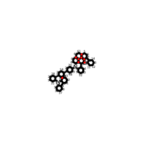 c1cc(-c2cccc3c2oc2ccccc23)cc(N(c2ccc(-c3ccc(-c4ccccc4-n4c5ccccc5c5ccccc54)cc3)cc2)c2ccccc2-c2ccc3ccccc3c2)c1